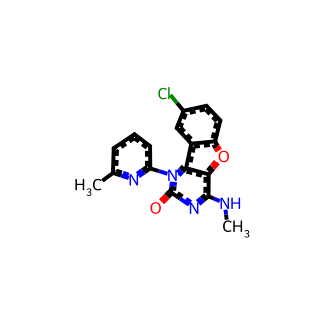 CNc1nc(=O)n(-c2cccc(C)n2)c2c1oc1ccc(Cl)cc12